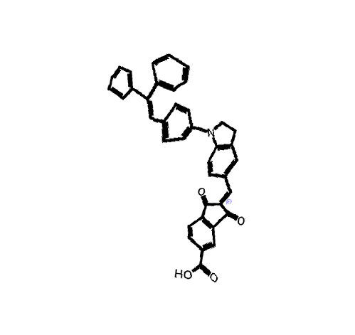 O=C(O)c1ccc2c(c1)C(=O)/C(=C/c1ccc3c(c1)CCN3c1ccc(C=C(c3ccccc3)c3ccccc3)cc1)C2=O